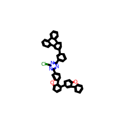 Clc1nc(-c2cccc(-c3ccc4c5ccccc5c5ccccc5c4c3)c2)nc(-c2ccc3c(c2)oc2cccc(-c4ccc5oc6ccccc6c5c4)c23)n1